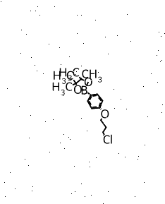 CC1(C)OB(c2ccc(OCCCCl)cc2)OC1(C)C